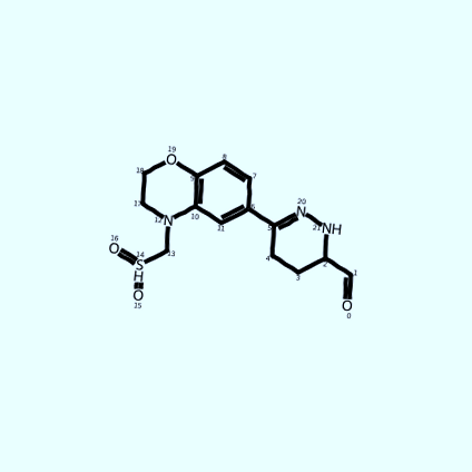 O=CC1CCC(c2ccc3c(c2)N(C[SH](=O)=O)CCO3)=NN1